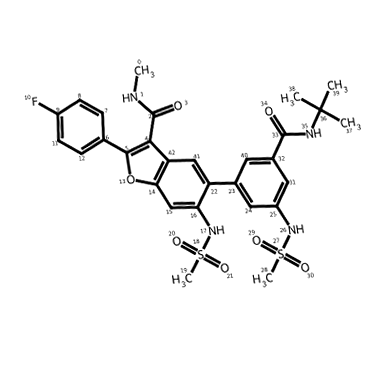 CNC(=O)c1c(-c2ccc(F)cc2)oc2cc(NS(C)(=O)=O)c(-c3cc(NS(C)(=O)=O)cc(C(=O)NC(C)(C)C)c3)cc12